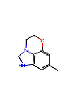 Cc1cc2c3c(c1)OCCN3CN2